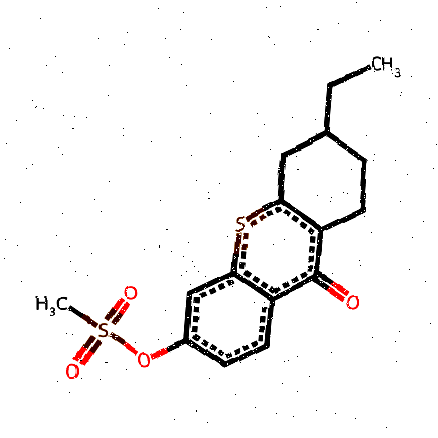 CCC1CCc2c(sc3cc(OS(C)(=O)=O)ccc3c2=O)C1